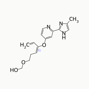 C=C/C(=C\CCOCO)Oc1ccnc(-c2nc(C)c[nH]2)c1